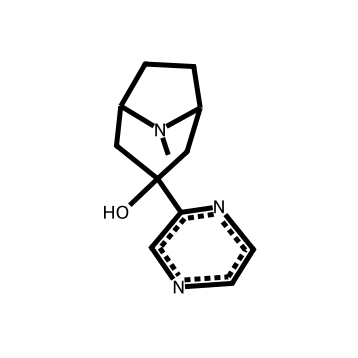 CN1C2CCC1CC(O)(c1cnccn1)C2